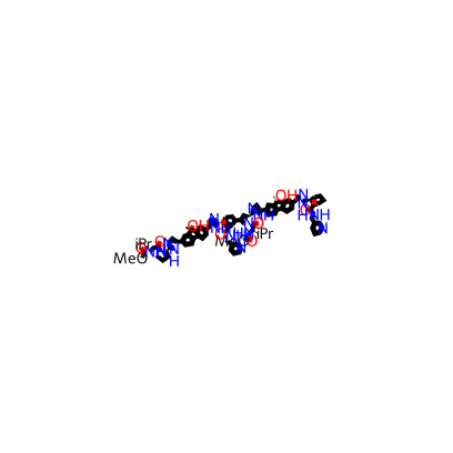 COC(=O)N[C@H](C(=O)N1CCC[C@H]1c1ncc(-c2ccc3c(c2)[C@](C)(O)c2cc(-c4cnc([C@@H]5C6CC(C7C[C@@H](c8ncc(-c9ccc%10c(c9)[C@@](C)(O)c9cc(-c%11cnc([C@@H]%12C%13CCC(C%13)C%12C(=O)NCc%12cccnc%12)[nH]%11)ccc9-%10)[nH]8)N(C(=O)[C@@H](NC(=O)OC)C(C)C)C7)C(C6)C5C(=O)NCc5cccnc5)[nH]4)ccc2-3)[nH]1)C(C)C